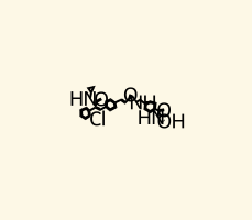 O=C(C=Cc1ccc(C=C(C(=O)NC2CC2)c2ccccc2Cl)cc1)NCc1ccc(C(=O)NO)cc1